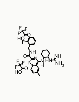 Cc1ccc2nc(C(=O)NCc3ccccc3F)nc(NC3CCCCC3NC(=N)N)c2c1.O=C(O)C(F)(F)F.O=C(O)C(F)(F)F